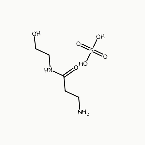 NCCC(=O)NCCO.O=S(=O)(O)O